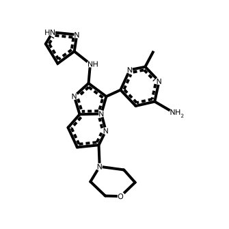 Cc1nc(N)cc(-c2c(Nc3cc[nH]n3)nc3ccc(N4CCOCC4)nn23)n1